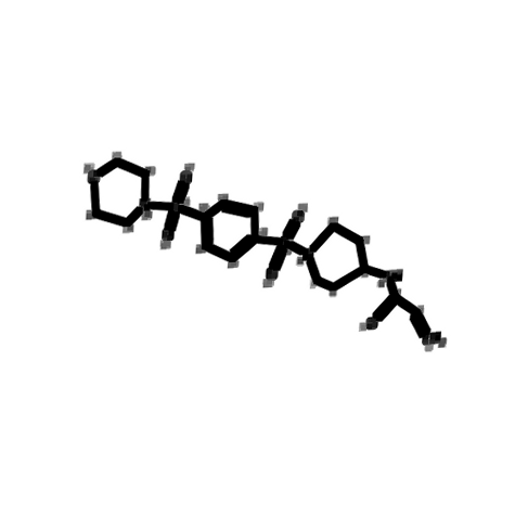 C=CC(=O)NC1CCN(S(=O)(=O)c2ccc(S(=O)(=O)N3CCOCC3)cc2)CC1